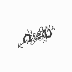 N#C[C@@H]1CC[C@@H]2CN1C(=O)N2OS(=O)(=O)ON1C(=O)N2C[C@H]1CC[C@H]2C#N